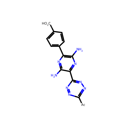 CC(=O)c1nnc(-c2nc(N)c(-c3ccc(C(=O)O)cc3)nc2N)nn1